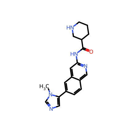 Cn1cncc1-c1ccc2cnc(NC(=O)C3CCCNC3)cc2c1